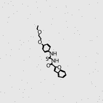 CCOCCOc1ccc(NC(=S)NC(=O)c2cc3ccccc3o2)cc1